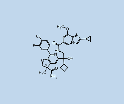 COc1cc(C(=O)NCC(O)(c2cc3c(c(-c4ccc(Cl)c(F)c4)n2)OC[C@]3(C)C(N)=O)C2CCC2)cn2cc(C3CC3)nc12